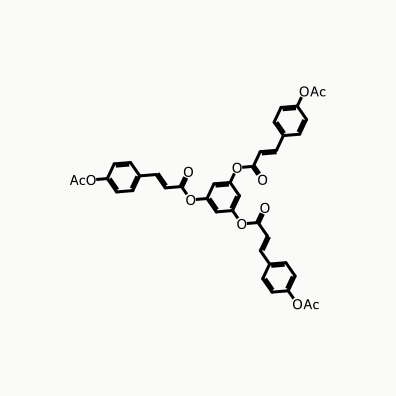 CC(=O)Oc1ccc(C=CC(=O)Oc2cc(OC(=O)C=Cc3ccc(OC(C)=O)cc3)cc(OC(=O)C=Cc3ccc(OC(C)=O)cc3)c2)cc1